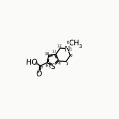 CN1CCc2sc(C(=O)O)cc2C1